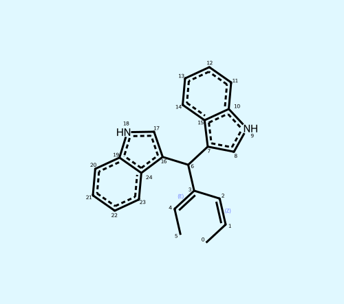 C/C=C\C(=C/C)C(c1c[nH]c2ccccc12)c1c[nH]c2ccccc12